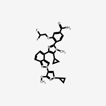 COc1nn(C2CC2)cc1-n1cc2c(-c3nc(-c4ccc(C(N)=O)cc4OCC(F)F)n(C)c3C3CC3)cccc2n1